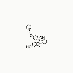 Oc1ccc2c3c(sc2c1)-c1ccccc1C3(O)c1ccc(OCCN2CCCCC2)cc1